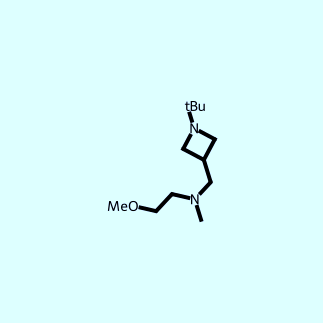 COCCN(C)CC1CN(C(C)(C)C)C1